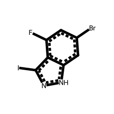 Fc1cc(Br)cc2[nH]nc(I)c12